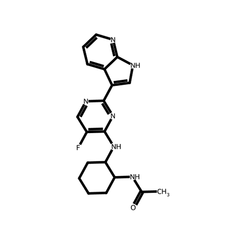 CC(=O)NC1CCCCC1Nc1nc(-c2c[nH]c3ncccc23)ncc1F